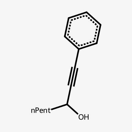 CCCCCC(O)C#Cc1ccccc1